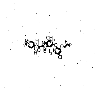 Cc1nc(Oc2ncc(Cl)cc2OCC(F)F)cc2c1nc(C(=O)NC1(C)CCS(=O)(=O)CC1)n2C